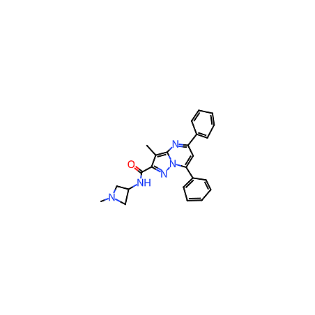 Cc1c(C(=O)NC2CN(C)C2)nn2c(-c3ccccc3)cc(-c3ccccc3)nc12